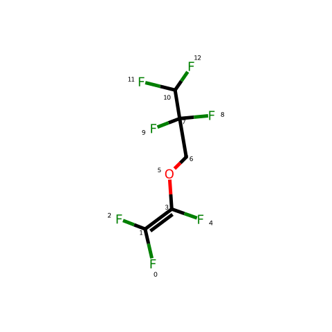 FC(F)=C(F)OCC(F)(F)C(F)F